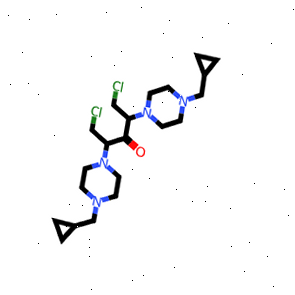 O=C(C(CCl)N1CCN(CC2CC2)CC1)C(CCl)N1CCN(CC2CC2)CC1